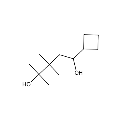 CC(C)(O)C(C)(C)CC(O)C1CCC1